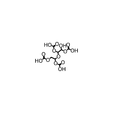 O=C(O)OCC(OC(=O)O)OC(OC(=O)O)C(O)OC(=O)O